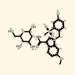 COc1ccc2c(C(=O)N[C@H]3C(O)OC(CO)[C@@H](O)C3O)cn(Cc3ccc(Cl)cc3S(C)(=O)=O)c2c1